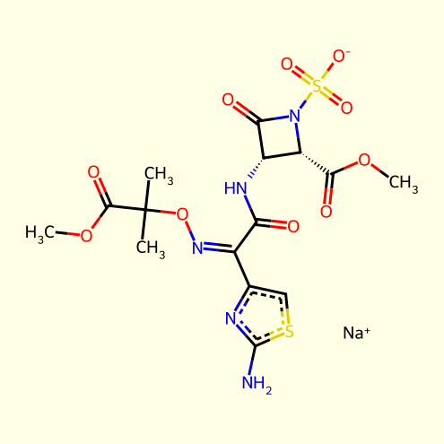 COC(=O)[C@@H]1[C@H](NC(=O)C(=NOC(C)(C)C(=O)OC)c2csc(N)n2)C(=O)N1S(=O)(=O)[O-].[Na+]